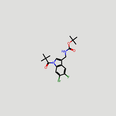 CC(C)(C)OC(=O)NCc1cn(C(=O)C(C)(C)C)c2cc(Br)c(F)cc12